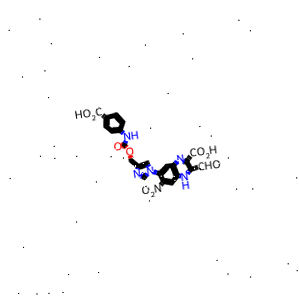 O=CC1Nc2cc([N+](=O)[O-])c(-n3cnc(COC(=O)Nc4ccc(C(=O)O)cc4)c3)cc2N=C1C(=O)O